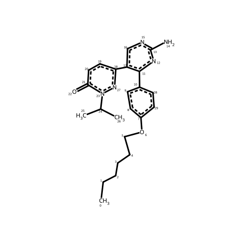 CCCCCCOc1ccc(-c2nc(N)ncc2-c2ccc(=O)n(C(C)C)n2)cc1